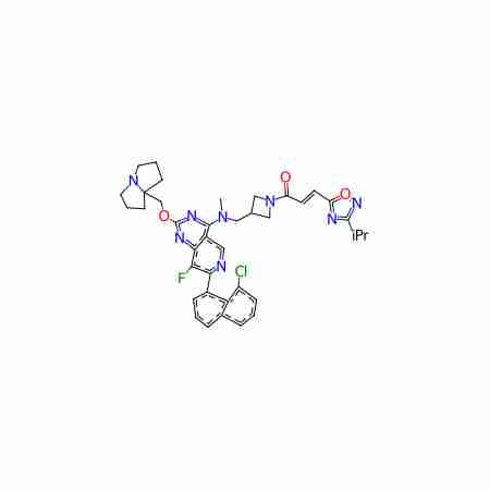 CC(C)c1noc(/C=C/C(=O)N2CC(CN(C)c3nc(OCC45CCCN4CCC5)nc4c(F)c(-c5cccc6cccc(Cl)c56)ncc34)C2)n1